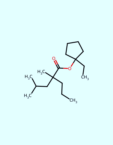 CCCC(C)(CC(C)C)C(=O)OC1(CC)CCCC1